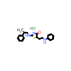 C[C@@H](CNC1=NC(=O)C(CCNc2ccccc2)S1)c1ccccc1.Cl